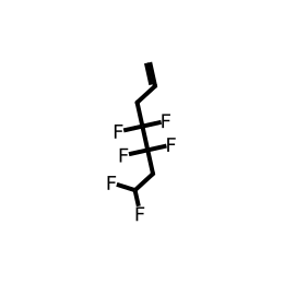 C=CCC(F)(F)C(F)(F)CC(F)F